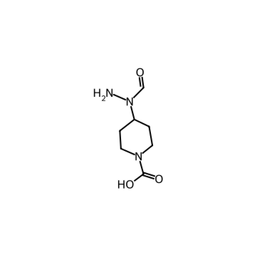 NN(C=O)C1CCN(C(=O)O)CC1